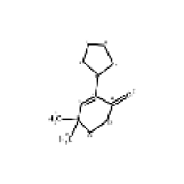 CC1(C)C=C(C2CCCC2)C(=O)CC1